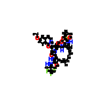 CCOc1ccc2c(O[C@@H]3C[C@H]4C(=O)N[C@]5(C(=O)NS(=O)(=O)C6(C)CC6)C[C@H]5C=CCC[C@@H](C)C[C@@H](C)[C@H](NC(=O)NC(C)(C)C(F)(F)F)C(=O)N4C3)nccc2c1